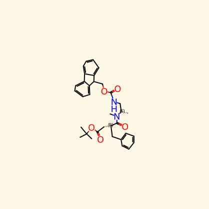 C[C@@H](CNC(=O)OCC1c2ccccc2-c2ccccc21)N(C)C(=O)[C@@H](CC(=O)OC(C)(C)C)Cc1ccccc1